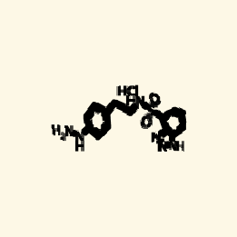 Cl.NNc1ccc(CCNS(=O)(=O)c2cccc3[nH]nnc23)cc1